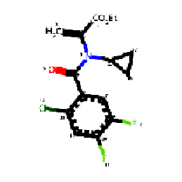 C=C(C(=O)OCC)N(C(=O)c1cc(F)c(F)cc1Cl)C1CC1